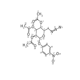 CC(=O)OC1C(CN=[N+]=[N-])OC(Oc2ccc([N+](=O)[O-])cc2)[C@@H](OC(C)=O)C1OC(C)=O